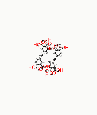 O=C(O)c1ccc(C#Cc2ccc(C(=O)O)c(C(=O)O)c2)cc1C(=O)O.O=C(O)c1ccc(C#Cc2ccc(C(=O)O)c(C(=O)O)c2)cc1C(=O)O